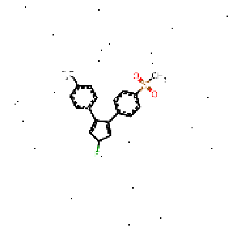 CS(=O)(=O)c1ccc(C2=CC(F)C=C2c2ccc(C(F)(F)F)cc2)cc1